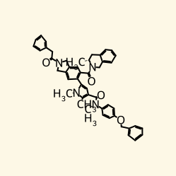 Cc1c(C(=O)N(C)c2ccc(OCc3ccccc3)cc2)cc(-c2cc3c(cc2C(=O)N2Cc4ccccc4C[C@H]2C)CN(C(=O)Cc2ccccc2)C3)n1C